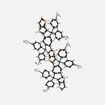 Cc1ccc(C2(c3ccc(C)cc3)c3cc4c(cc3-c3sc5ccsc5c32)C(c2ccc(C)cc2)(c2ccc(C)cc2)c2c-4sc3c4c(sc23)-c2cc3c(cc2C4(c2ccc(C)cc2)c2ccc(C)cc2)-c2sc4ccsc4c2C3(c2ccc(C)cc2)c2ccc(C)cc2)cc1